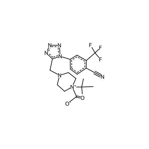 CC(C)(C)[N+]1(C(=O)[O-])CCN(Cc2nnnn2-c2ccc(C#N)c(C(F)(F)F)c2)CC1